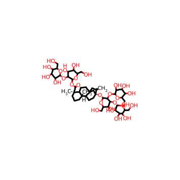 C=C1CC23CCC4[C@](C)(C(=O)OC5OC(CO)C(O)C(O)C5OC5OC(CO)C(O)C(O)C5O)CCC[C@@]4(C)[C@@H]2CC[C@]1(OC1OC(CO)C(O)C(OC2OC(CO)C(O)C(O)C2O)C1OC1OC(CO)C(O)C(O)C1O)C3